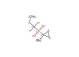 CC(=O)OCC(C)(C)S(=O)(=O)C1(C(C)(C)C)CC1